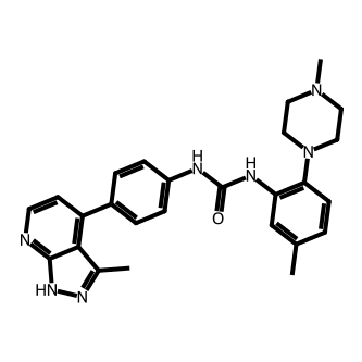 Cc1ccc(N2CCN(C)CC2)c(NC(=O)Nc2ccc(-c3ccnc4[nH]nc(C)c34)cc2)c1